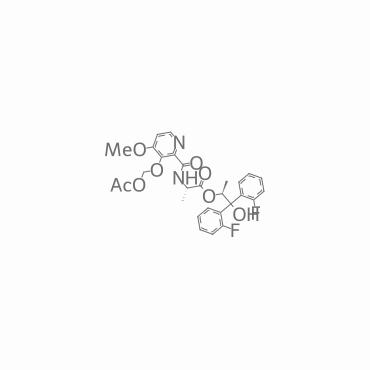 COc1ccnc(C(=O)N[C@@H](C)C(=O)O[C@@H](C)C(O)(c2ccccc2F)c2ccccc2F)c1OCOC(C)=O